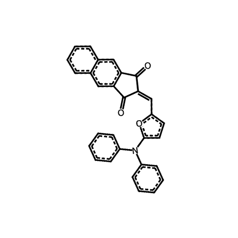 O=C1C(=Cc2ccc(N(c3ccccc3)c3ccccc3)o2)C(=O)c2cc3ccccc3cc21